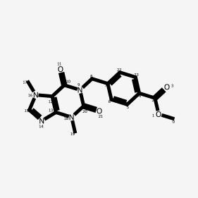 COC(=O)c1ccc(Cn2c(=O)c3c(ncn3C)n(C)c2=O)cc1